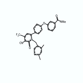 [C-]#[N+]c1c(C(F)(F)F)cc(-c2ccc(Oc3cccc(C(=O)NC)c3)cc2)n(Cc2ccc(C)cc2C)c1=O